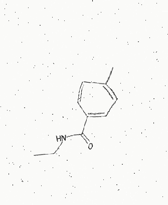 C[CH]NC(=O)c1ccc(C)cc1